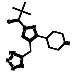 CC(C)(C)C(=O)n1cc(Cc2nnn[nH]2)c(C2CCNCC2)n1